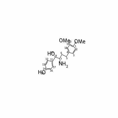 COc1ccc(CCC(N)C(O)c2ccc(O)cc2)cc1OC